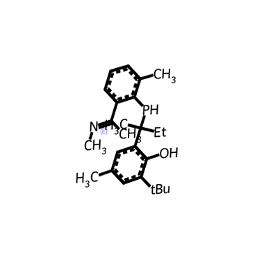 CCC(C)(Pc1c(C)cccc1/C(C)=N/C)c1cc(C)cc(C(C)(C)C)c1O